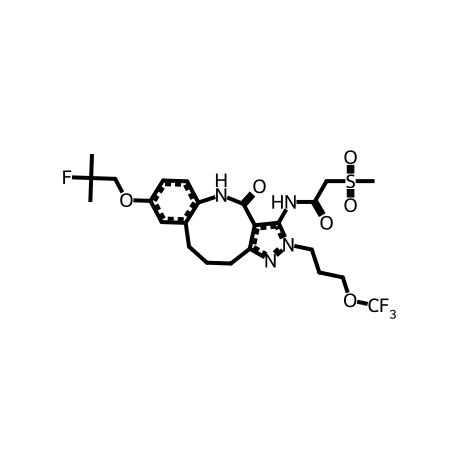 CC(C)(F)COc1ccc2c(c1)CCCc1nn(CCCOC(F)(F)F)c(NC(=O)CS(C)(=O)=O)c1C(=O)N2